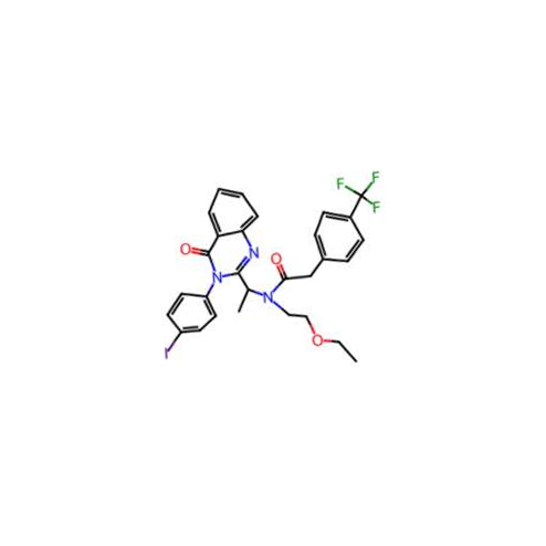 CCOCCN(C(=O)Cc1ccc(C(F)(F)F)cc1)C(C)c1nc2ccccc2c(=O)n1-c1ccc(I)cc1